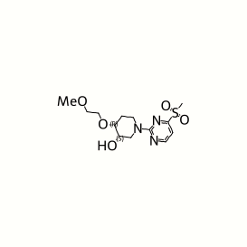 COCCO[C@@H]1CCN(c2nccc(S(C)(=O)=O)n2)C[C@@H]1O